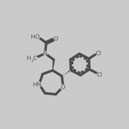 CN(C[C@@H]1CNCCO[C@H]1c1ccc(Cl)c(Cl)c1)C(=O)O